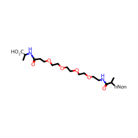 CCCCCCCCCC(C)C(=O)NCCOCCOCCOCCOCCC(=O)N[C@@H](C)C(=O)O